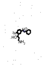 [2H]c1ccc(/C=C/C2(O)CCCCC2)cc1C(O)CCN